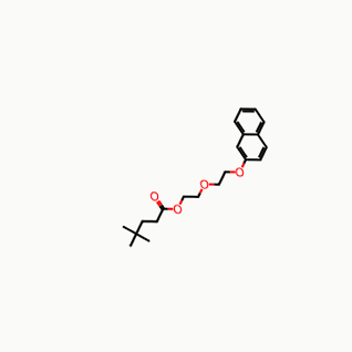 CC(C)(C)CCC(=O)OCCOCCOc1ccc2ccccc2c1